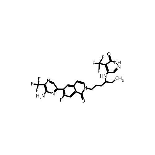 CCC(CCCn1ccc2cc(-c3cnc(C(F)(F)F)c(N)n3)c(F)cc2c1=O)Nc1cn[nH]c(=O)c1C(F)(F)F